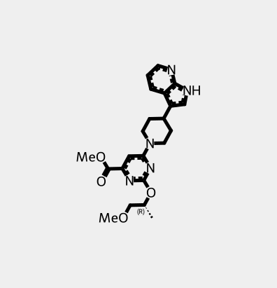 COC[C@@H](C)Oc1nc(C(=O)OC)cc(N2CCC(c3c[nH]c4ncccc34)CC2)n1